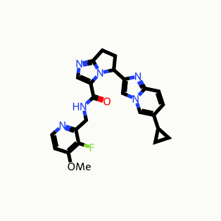 COc1ccnc(CNC(=O)c2cnc3n2C(c2cn4cc(C5CC5)ccc4n2)CC3)c1F